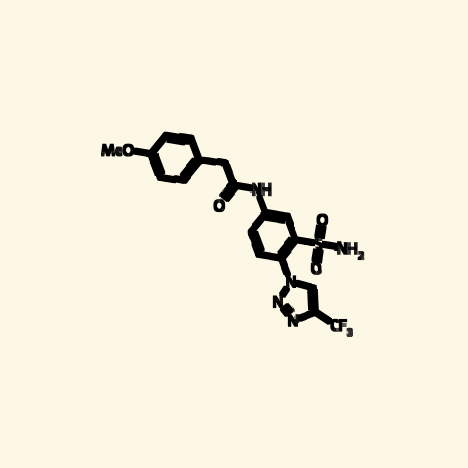 COc1ccc(CC(=O)Nc2ccc(-n3cc(C(F)(F)F)nn3)c(S(N)(=O)=O)c2)cc1